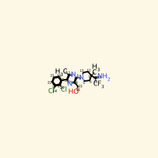 Cc1nc(N2CCC(C)([C@@H](N)C(F)(F)F)CC2)c(CO)nc1-c1cccc(Cl)c1Cl